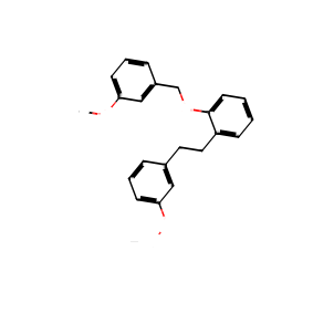 COc1cccc(CCc2ccccc2OCc2cccc(OC)c2)c1